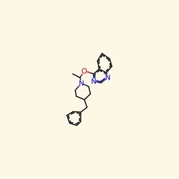 CC(Oc1ncnc2ccccc12)N1CCC(Cc2ccccc2)CC1